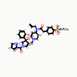 C=CCN(C(=O)Cc1ccc(S(=O)(=O)NC)cc1)C1CCN(C[C@H]2CN(C(=O)c3ccc[nH]3)C[C@]2(O)c2ccccc2)CC1